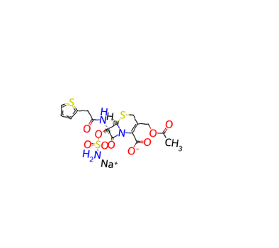 CC(=O)OCC1=C(C(=O)[O-])N2C(=O)[C@@](NC(=O)Cc3cccs3)(OS(N)(=O)=O)[C@H]2SC1.[Na+]